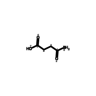 BC(=O)CCC(=O)O